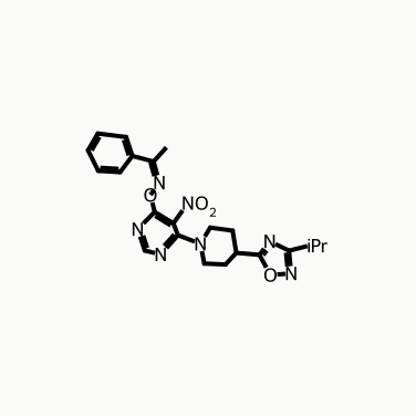 CC(=NOc1ncnc(N2CCC(c3nc(C(C)C)no3)CC2)c1[N+](=O)[O-])c1ccccc1